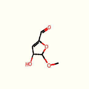 COC1OC(C=O)=CC1O